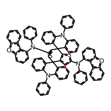 c1ccc(N2c3ccccc3C3(c4ccccc42)c2cc(N(c4ccccc4)c4cccc5oc6ccccc6c45)sc2C2(c4ccccc4N(c4ccccc4)c4ccccc42)c2cc(N(c4ccccc4)c4cccc5oc6ccccc6c45)sc23)cc1